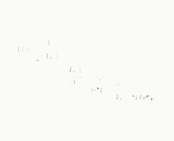 C=C(C)C(=O)NCCCNC(=O)CCC(=O)Nc1ccc(CN=[N+]=[N-])nc1